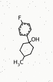 CC1CCC(O)(c2ccc(F)cc2)CC1